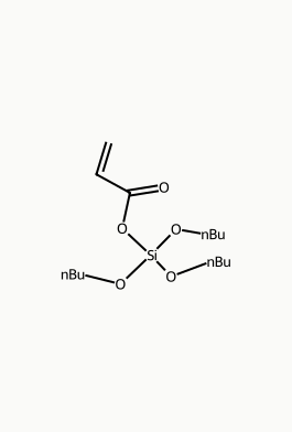 C=CC(=O)O[Si](OCCCC)(OCCCC)OCCCC